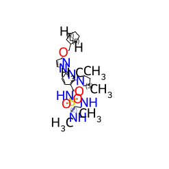 CN/C=C(\C(C)=N)S(=O)(=O)NC(=O)c1ccc(-n2ccc(OCC3C[C@@H]4CC[C@H]3C4)n2)nc1N1C[C@@H](C)CC1(C)C